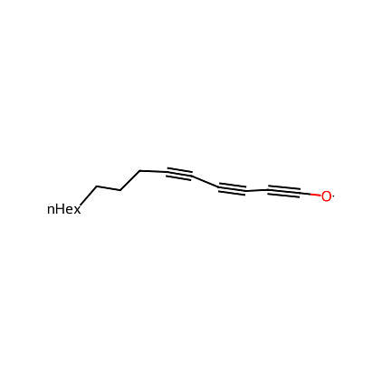 CCCCCCCCCC#CC#CC#C[O]